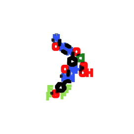 CN(C)CC(=O)N1CCN(C(=O)c2ccc(NC(=O)c3ncc(-c4ccc(OC(F)F)c(F)c4F)n3C)cc2Cl)CC1.O=CO